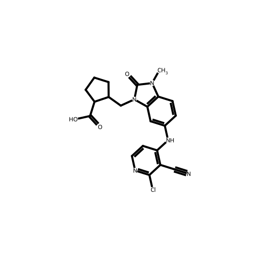 Cn1c(=O)n(CC2CCCC2C(=O)O)c2cc(Nc3ccnc(Cl)c3C#N)ccc21